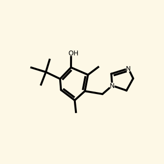 Cc1cc(C(C)(C)C)c(O)c(C)c1CN1C=NCC1